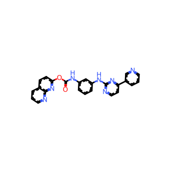 O=C(Nc1cccc(Nc2nccc(-c3cccnc3)n2)c1)Oc1ccc2cccnc2n1